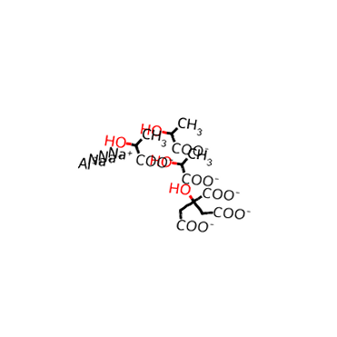 CC(O)C(=O)[O-].CC(O)C(=O)[O-].CC(O)C(=O)[O-].O=C([O-])CC(O)(CC(=O)[O-])C(=O)[O-].[Al+3].[Na+].[Na+].[Na+]